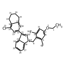 CCOc1cc(F)c(Cn2nc(-c3nc(Cl)c4c(n3)CCCC4)c3ccccc32)c(F)c1